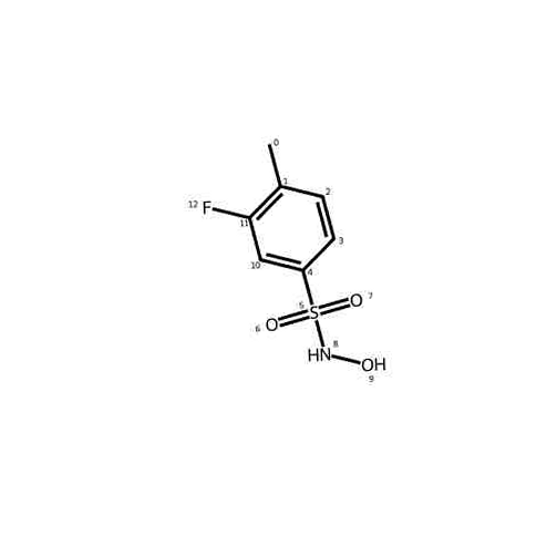 Cc1ccc(S(=O)(=O)NO)cc1F